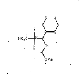 COCOC(C1CCCCC1)C(F)(F)C(=O)O